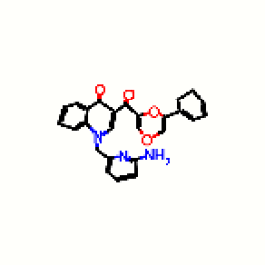 Nc1cccc(Cn2cc(C(=O)C3=COC=C(C4=CC=CCC4)O3)c(=O)c3ccccc32)n1